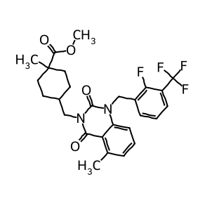 COC(=O)C1(C)CCC(Cn2c(=O)c3c(C)cccc3n(Cc3cccc(C(F)(F)F)c3F)c2=O)CC1